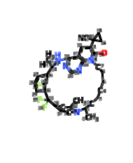 CC1CCCCCCn2c(=O)c(C3(C#N)CC3)cc3c(ncnc32)N[C@H](C)c2cccc(c2F)C(F)(F)C2CCN1C(C)C2